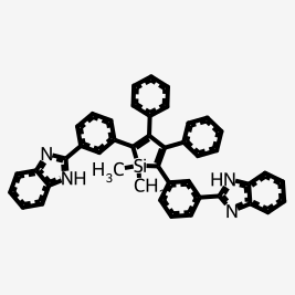 C[Si]1(C)C(c2cccc(-c3nc4ccccc4[nH]3)c2)=C(c2ccccc2)C(c2ccccc2)=C1c1cccc(-c2nc3ccccc3[nH]2)c1